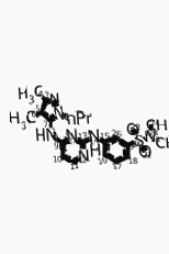 CCCn1nc(C)c(C)c1Nc1ccnc(Nc2cccc(S(=O)(=O)N(C)C)c2)n1